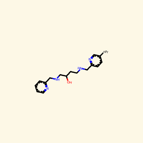 CCCc1ccc(CNCCC(O)CNCc2ccccn2)nc1